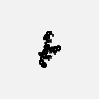 Cc1csc(NCCCC2CN(C(=O)C(N)Cc3ccc4ccccc4c3)C(CC(C)C)CN2C(=O)C(N)Cc2ccc3ccccc3c2)n1